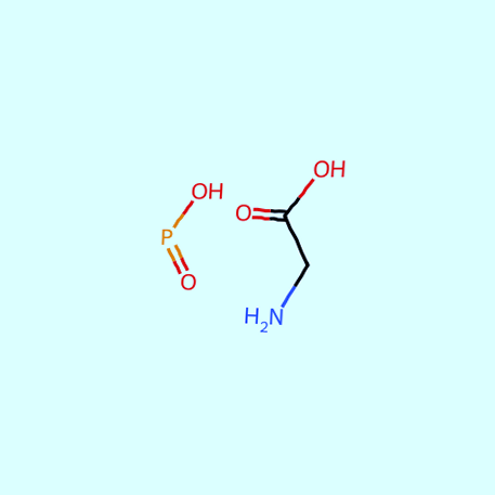 NCC(=O)O.O=PO